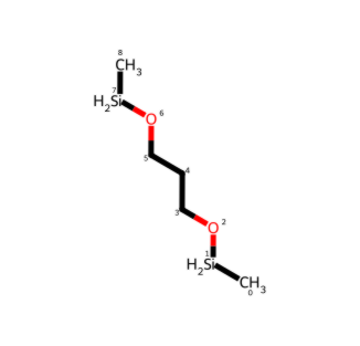 C[SiH2]OCCCO[SiH2]C